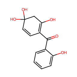 O=C(C1=C(O)CC(O)(O)C=C1)c1ccccc1O